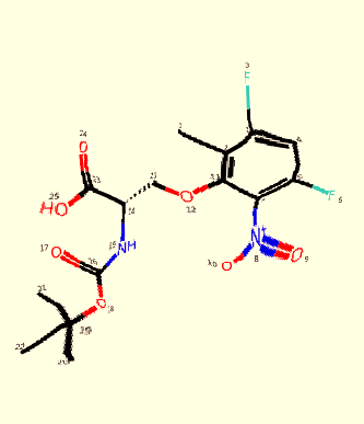 Cc1c(F)cc(F)c([N+](=O)[O-])c1OC[C@H](NC(=O)OC(C)(C)C)C(=O)O